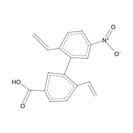 C=Cc1ccc(C(=O)O)cc1-c1cc([N+](=O)[O-])ccc1C=C